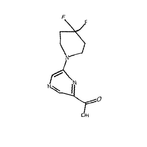 O=C(O)c1cncc(N2CCC(F)(F)CC2)n1